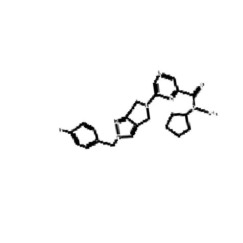 CN(C(=O)c1cncc(N2Cc3cn(Cc4ccc(F)cc4)nc3C2)n1)C1CCCC1